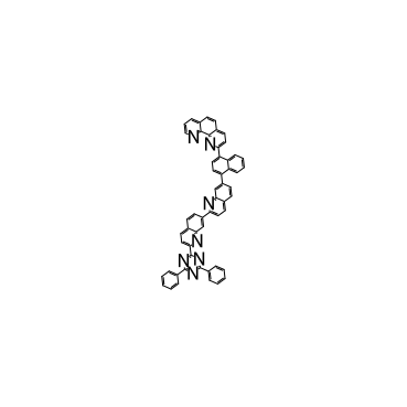 c1ccc(-c2nc(-c3ccccc3)nc(-c3ccc4ccc(-c5ccc6ccc(-c7ccc(-c8ccc9ccc%10cccnc%10c9n8)c8ccccc78)cc6n5)cc4n3)n2)cc1